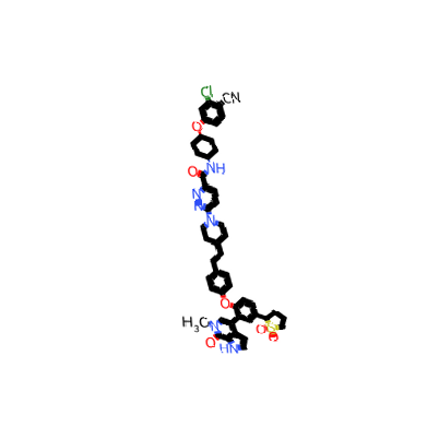 Cn1cc(-c2cc(C3CCCS3(=O)=O)ccc2Oc2ccc(CCC3CCN(c4ccc(C(=O)N[C@H]5CC[C@H](Oc6ccc(C#N)c(Cl)c6)CC5)nn4)CC3)cc2)c2cc[nH]c2c1=O